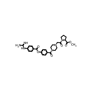 COC(=O)C1CCCN1C(=O)CN1CCN(C(=O)c2ccc(OC(=O)c3ccc(NC(=N)N)cc3)cc2)CC1